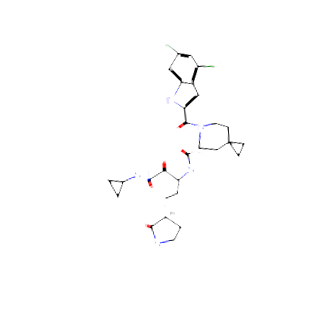 O=C(NC1CC1)C(=O)[C@H](CC[C@@H]1CCNC1=O)NC(=O)[C@@H]1CC2(CCN1C(=O)c1cc3c(Cl)cc(Cl)cc3[nH]1)CC2